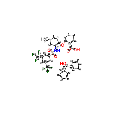 Cc1ccc(Oc2ccccc2C(=O)O)c(NS(=O)(=O)c2cc(C(F)(F)F)cc(C(F)(F)F)c2)c1.OC(c1ccccc1)c1ccccc1